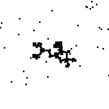 CN(C)CC[C@@H]1CC(F)(F)CN1.Cl.Cl